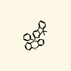 CC1(C)c2ccccc2-c2ccc([Si]3(c4ccccc4)c4ccccc4Sc4ccccc43)cc21